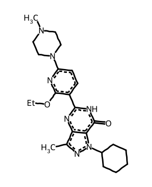 CCOc1nc(N2CCN(C)CC2)ccc1-c1nc2c(C)nn(C3CCCCC3)c2c(=O)[nH]1